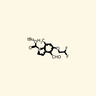 Cc1cc(OCC(F)F)c(C=O)c2ccn(C(=O)OC(C)(C)C)c12